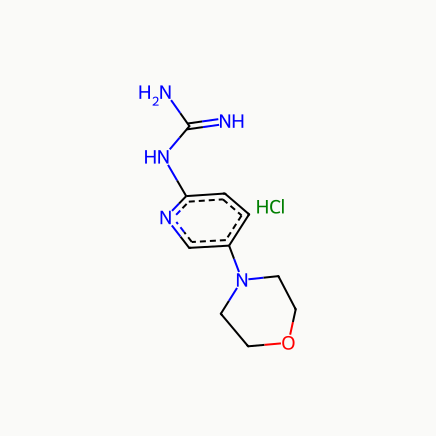 Cl.N=C(N)Nc1ccc(N2CCOCC2)cn1